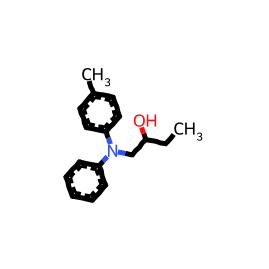 CCC(O)CN(c1ccccc1)c1ccc(C)cc1